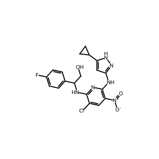 O=[N+]([O-])c1cc(Cl)c(NC(CO)c2ccc(F)cc2)nc1Nc1cc(C2CC2)[nH]n1